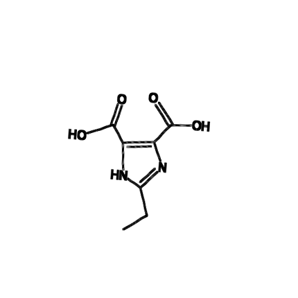 CCc1nc(C(=O)O)c(C(=O)O)[nH]1